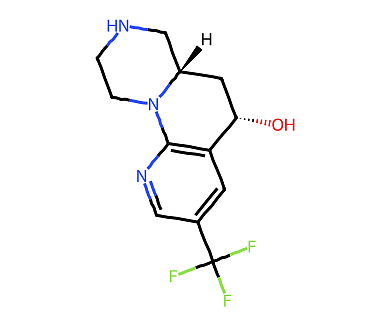 O[C@H]1C[C@H]2CNCCN2c2ncc(C(F)(F)F)cc21